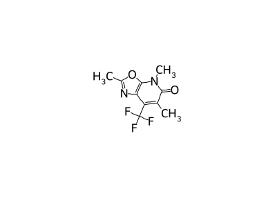 Cc1nc2c(C(F)(F)F)c(C)c(=O)n(C)c2o1